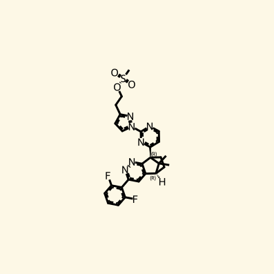 CC1(C)[C@H]2CC[C@@]1(c1ccnc(-n3ccc(CCOS(C)(=O)=O)n3)n1)c1nnc(-c3c(F)cccc3F)cc12